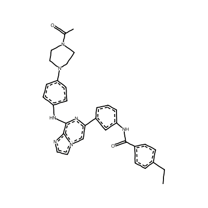 CCc1ccc(C(=O)Nc2cccc(-c3cn4ccnc4c(Nc4ccc(N5CCN(C(C)=O)CC5)cc4)n3)c2)cc1